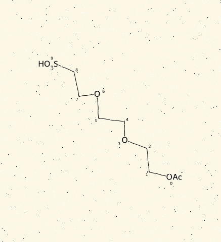 CC(=O)OCCOCCOCCS(=O)(=O)O